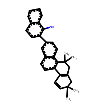 CC1(C)C=CC2=C(C1)CC(C)(C)c1c2ccc2cc(-c3ccc4ccccc4c3N)ccc12